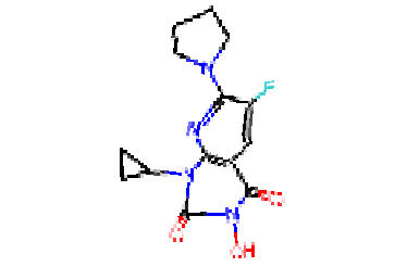 O=c1c2cc(F)c(N3CCCC3)nc2n(C2CC2)c(=O)n1O